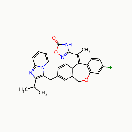 C/C(=C1/c2ccc(Cc3c(C(C)C)nc4ccccn34)cc2COc2cc(F)ccc21)c1noc(=O)[nH]1